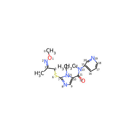 CO/N=C(/C)CSc1ncc(C(=O)N(C)c2cccnc2)n1C